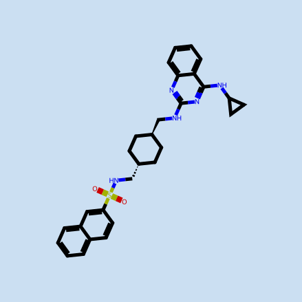 O=S(=O)(NC[C@H]1CC[C@H](CNc2nc(NC3CC3)c3ccccc3n2)CC1)c1ccc2ccccc2c1